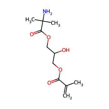 C=C(C)C(=O)OCC(O)COC(=O)C(C)(C)N